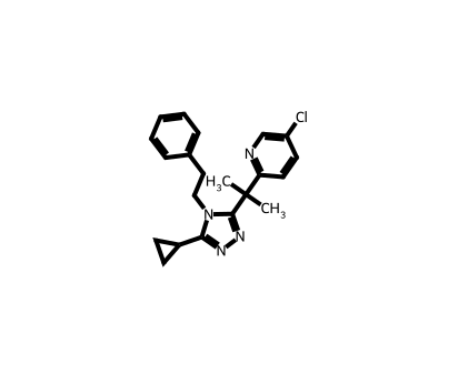 CC(C)(c1ccc(Cl)cn1)c1nnc(C2CC2)n1CCc1ccccc1